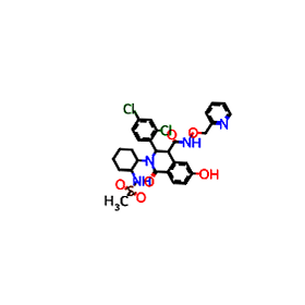 CS(=O)(=O)NC1CCCCC1N1C(=O)c2ccc(O)cc2C(C(=O)NOCc2ccccn2)C1c1ccc(Cl)cc1Cl